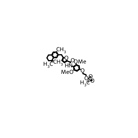 COc1cc(OCCOS(C)(=O)=O)cc(OC)c1NC(=O)c1ccc(Cc2cc3c(cc2C)CCCC3(C)C)o1